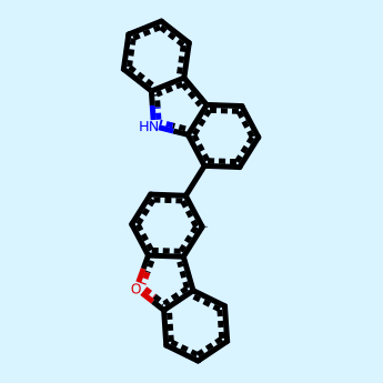 [c]1c(-c2cccc3c2[nH]c2ccccc23)ccc2oc3ccccc3c12